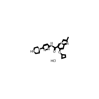 Cc1cn2cc(C(=O)Nc3ccc(N4CCNCC4)nn3)c(OC3CCC3)cc2n1.Cl